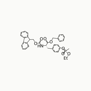 CCOP(C)(=O)Oc1ccc(C[C@H](NC(=O)OCC2c3ccccc3-c3ccccc32)C(=O)OCc2ccccc2)cc1